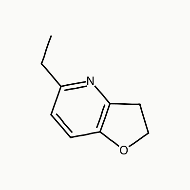 CCc1ccc2c(n1)CCO2